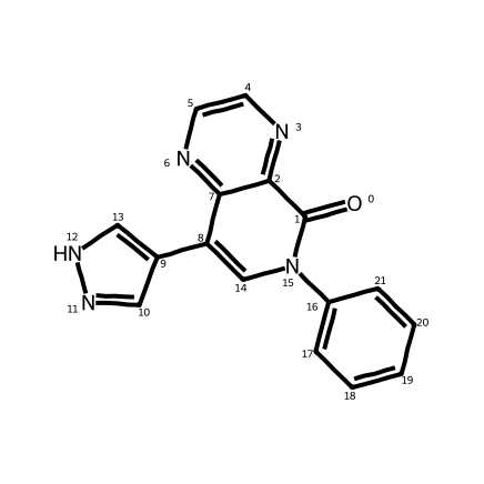 O=c1c2nccnc2c(-c2cn[nH]c2)cn1-c1ccccc1